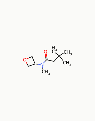 CN(C(=O)CC(C)(C)C)C1COC1